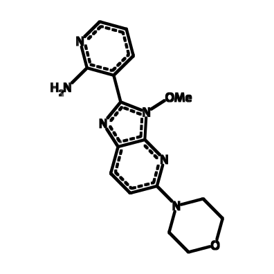 COn1c(-c2cccnc2N)nc2ccc(N3CCOCC3)nc21